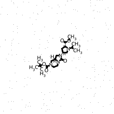 COC(=O)[C@H]1C[C@@H](N2C[C@@H]3CN(C(=O)OC(C)(C)C)CCN3C2=O)CN1C(C)C